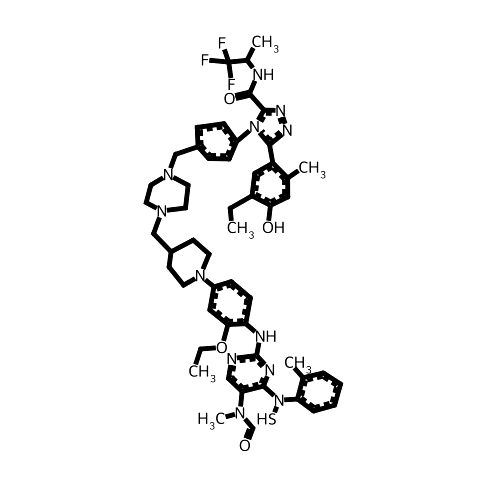 CCOc1cc(N2CCC(CN3CCN(Cc4ccc(-n5c(C(=O)NC(C)C(F)(F)F)nnc5-c5cc(CC)c(O)cc5C)cc4)CC3)CC2)ccc1Nc1ncc(N(C)C=O)c(N(S)c2ccccc2C)n1